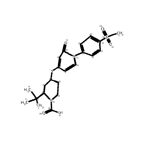 CC(C)(C)C1CC(Sc2ccn(-c3ccc(S(C)(=O)=O)cc3)c(=O)c2)CCN1C(=O)O